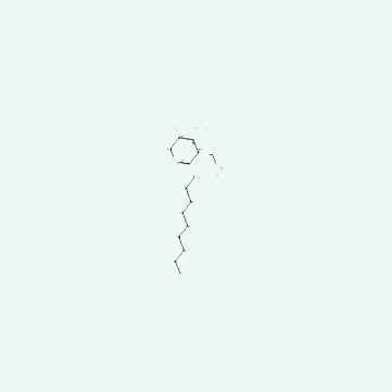 CCCCCCCCC[C@H]1NC[C@@H](O)[C@H](O)[C@H]1CO